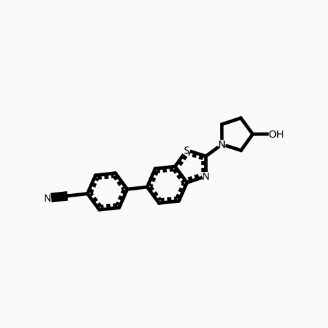 N#Cc1ccc(-c2ccc3nc(N4CCC(O)C4)sc3c2)cc1